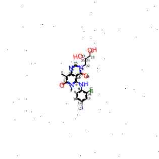 Cc1c(=O)n(C)c(Nc2ccc(I)cc2F)c2c(=O)n(C[C@H](O)CO)cnc12